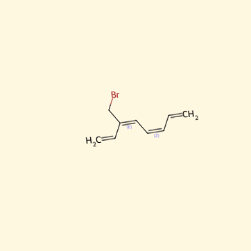 C=C/C=C\C=C(/C=C)CBr